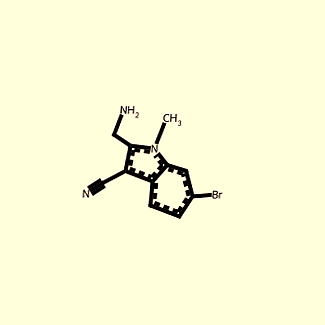 Cn1c(CN)c(C#N)c2ccc(Br)cc21